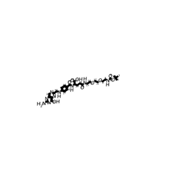 CC(C)(C)OC(=O)NCCOCCOCCNC(=O)CCC(NC(=O)c1ccc(NCc2ncc3nc(N)nc(O)c3n2)cc1)C(=O)O